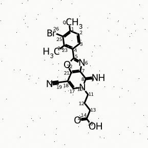 Cc1ccc(-c2nc3c(=N)n(CCCC(=O)O)cc(C#N)c3o2)c(C)c1Br